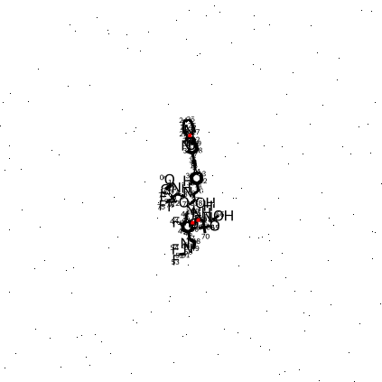 COC(=O)NC(C(=O)NC(Cc1ccc(C#Cc2ccc(N3CC4CCC(C3)N4C3COC3)nc2)cc1)C(O)CN(Cc1c(F)cc(-c2ccn(CC(F)F)n2)cc1F)NC(=O)C(NC(=O)O)C(C)(C)C)C(C)(C)C(F)(F)F